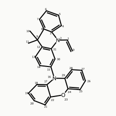 C=CN1c2ccccc2C(C)(C)c2ccc(N3c4ccccc4Oc4ccccc43)cc21